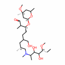 CC[C@@H](OC)C(O)C(O)C(C)N(C)C[C@H](C)CC(CO)CC[C@H](O[C@H]1C[C@@](C)(OC)CC(C)O1)C(C)C=O